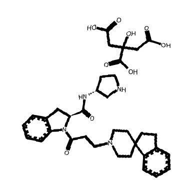 O=C(N[C@@H]1CCNC1)[C@@H]1Cc2ccccc2N1C(=O)CCN1CCC2(CCc3ccccc32)CC1.O=C(O)CC(O)(CC(=O)O)C(=O)O